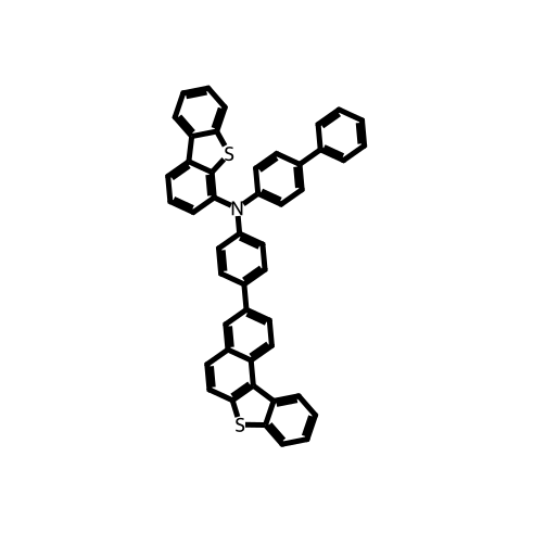 c1ccc(-c2ccc(N(c3ccc(-c4ccc5c(ccc6sc7ccccc7c65)c4)cc3)c3cccc4c3sc3ccccc34)cc2)cc1